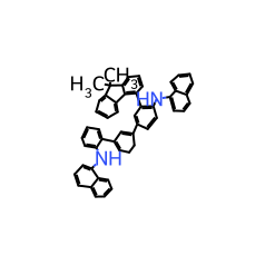 CC1(C)c2ccccc2-c2c(-c3cc(C4=CC(c5ccccc5Nc5cccc6ccccc56)=CCC4)ccc3Nc3cccc4ccccc34)cccc21